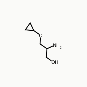 NC(CO)COC1CC1